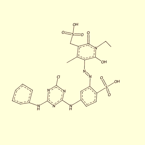 CCn1c(O)c(N=Nc2cc(Nc3nc(Cl)nc(Nc4ccccc4)n3)ccc2S(=O)(=O)O)c(C)c(CS(=O)(=O)O)c1=O